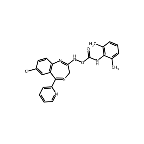 Cc1cccc(C)c1NC(=O)ONC1=Nc2ccc(Cl)cc2C(c2ccccn2)=NC1